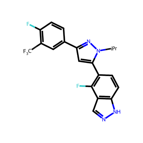 CC(C)n1nc(-c2ccc(F)c(C(F)(F)F)c2)cc1-c1ccc2[nH]ncc2c1F